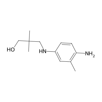 Cc1cc(NCC(C)(C)CO)ccc1N